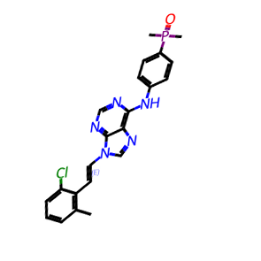 Cc1cccc(Cl)c1/C=C/n1cnc2c(Nc3ccc(P(C)(C)=O)cc3)ncnc21